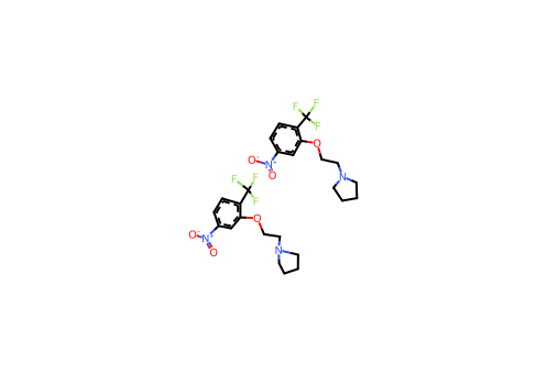 O=[N+]([O-])c1ccc(C(F)(F)F)c(OCCN2CCCC2)c1.O=[N+]([O-])c1ccc(C(F)(F)F)c(OCCN2CCCC2)c1